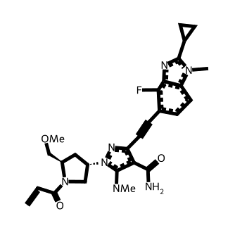 C=CC(=O)N1C[C@@H](n2nc(C#Cc3ccc4c(nc(C5CC5)n4C)c3F)c(C(N)=O)c2NC)C[C@@H]1COC